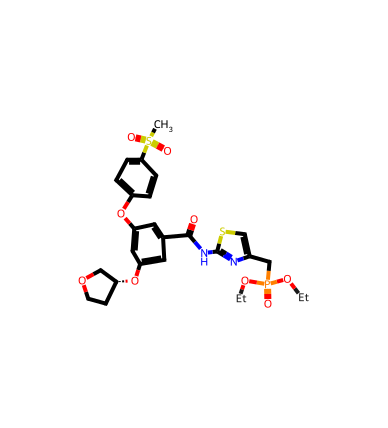 CCOP(=O)(Cc1csc(NC(=O)c2cc(Oc3ccc(S(C)(=O)=O)cc3)cc(O[C@@H]3CCOC3)c2)n1)OCC